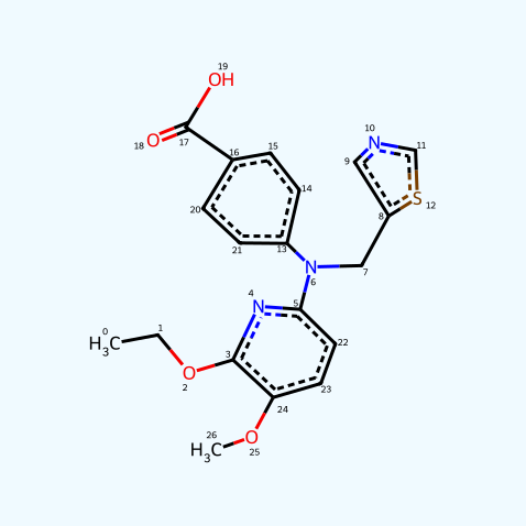 CCOc1nc(N(Cc2cncs2)c2ccc(C(=O)O)cc2)ccc1OC